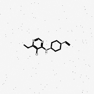 C=C[C@H]1CC[C@@H](Nc2ncnc(CC)c2Cl)CC1